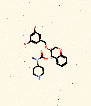 CN(C(=O)O[C@H]1c2ccccc2OC[C@@H]1OCc1cc(Br)cc(Br)c1)C1CCNCC1